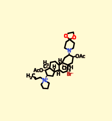 C=CC[N+]1([C@H]2C[C@H]3[C@@H]4CC[C@H]5C[C@H](OC(C)=O)[C@@H](N6CCC7(CC6)OCCO7)C[C@]5(C)[C@H]4CC[C@]3(C)[C@H]2OC(C)=O)CCCC1.[Br-]